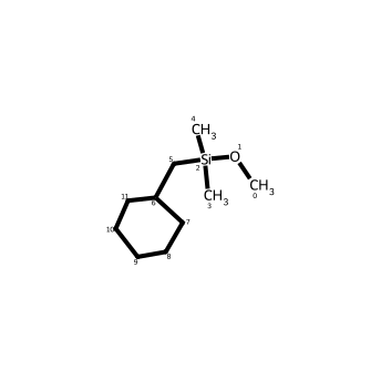 CO[Si](C)(C)CC1CCCCC1